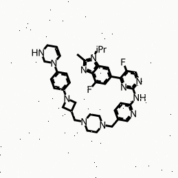 Cc1nc2c(F)cc(-c3nc(Nc4ccc(CN5CCN(CC6CN(c7ccc(N8C=CCNC8)cc7)C6)CC5)cn4)ncc3F)cc2n1C(C)C